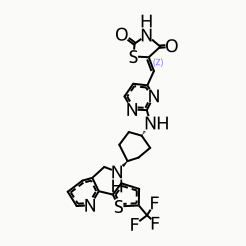 O=C1NC(=O)/C(=C/c2ccnc(N[C@H]3CC[C@H](NCc4cccnc4-c4ccc(C(F)(F)F)s4)CC3)n2)S1